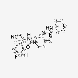 N#CC[C@@H](NC(=O)N1CCc2cnc(NC3CCOCC3)nc2C1)c1ccc(F)c(Cl)c1